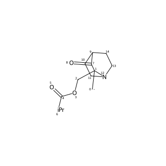 [CH2]C1(COC(=O)C(C)C)C(=O)C2CCN1CC2